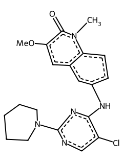 COc1cc2cc(Nc3nc(N4CCCCC4)ncc3Cl)ccc2n(C)c1=O